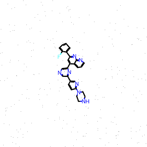 Fc1ccccc1-c1cc(-c2cncc(-c3ccc(N4CCNCC4)nc3)n2)c2cccnc2n1